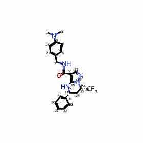 CN(C)c1ccc(CNC(=O)c2cnn3c2N[C@@H](c2ccccc2)C[C@H]3C(F)(F)F)cc1